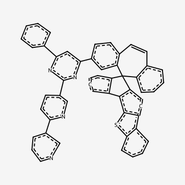 C1=Cc2ccc(-c3cc(-c4ccccc4)nc(-c4ccc(-c5cccnc5)nc4)n3)cc2C2(c3ccccc31)c1ccccc1-c1c2ccc2c1sc1ccccc12